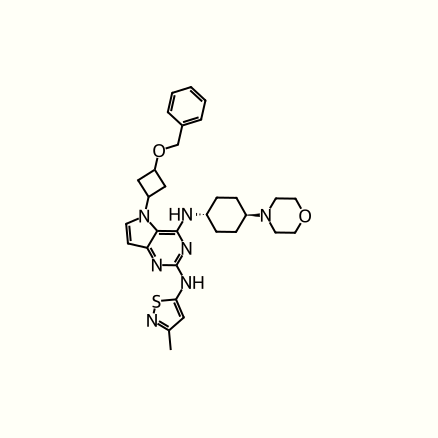 Cc1cc(Nc2nc(N[C@H]3CC[C@H](N4CCOCC4)CC3)c3c(ccn3C3CC(OCc4ccccc4)C3)n2)sn1